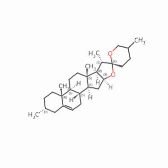 CC1CC[C@@]2(OC1)O[C@H]1C[C@H]3[C@@H]4CC=C5C[C@H](C)CC[C@]5(C)[C@H]4CC[C@]3(C)[C@H]1[C@@H]2C